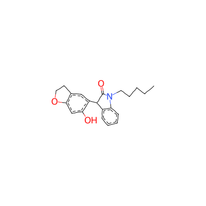 CCCCCN1C(=O)C(c2cc3c(cc2O)OCC3)c2ccccc21